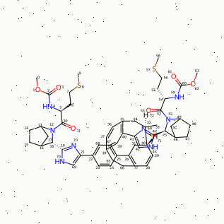 COC(=O)N[C@@H](CCSC)C(=O)N1C2CCC(C2)[C@H]1c1nc(-c2ccc(C3=C4C=C[C@H](C3)[C@H](C)Cc3ccc(cc3-c3c[nH]c([C@@H]5C6CCC(C6)N5C(=O)[C@H](CCSC)NC(=O)OC)n3)CC4)cc2)c[nH]1